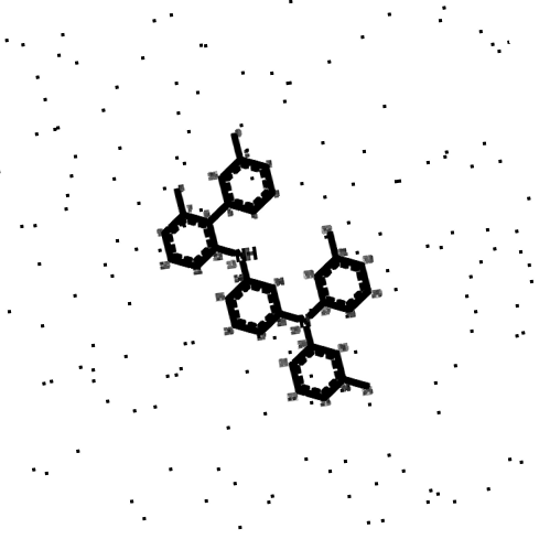 Cc1cccc(-c2c(C)cccc2Nc2cccc(N(c3cccc(C)c3)c3cccc(C)c3)c2)c1